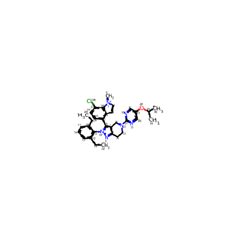 C=[N+]1C=Cc2c(-c3c4c(nn3-c3c(CC)cccc3CC)CCN(c3ncc(OC(C)C)cn3)C4)ccc(Cl)c21